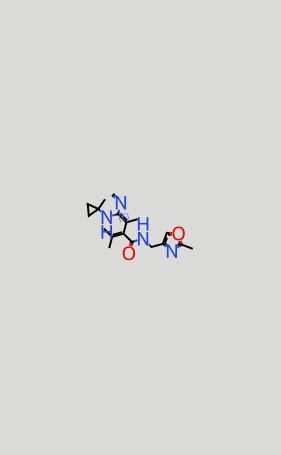 C=N/C(NC1(C)CC1)=C(\C)C(C(=O)NCc1coc(C)n1)=C(C)C